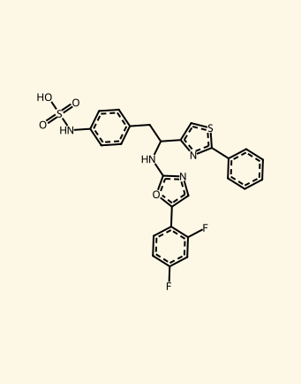 O=S(=O)(O)Nc1ccc(CC(Nc2ncc(-c3ccc(F)cc3F)o2)c2csc(-c3ccccc3)n2)cc1